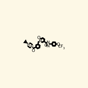 O=C(c1cccc(Cn2cc(-c3nc(-c4ccc(OC(F)(F)F)cc4)no3)ccc2=O)c1)N1CCN(C2CC2)CC1